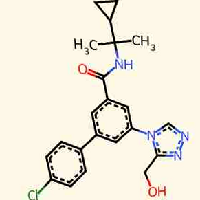 CC(C)(NC(=O)c1cc(-c2ccc(Cl)cc2)cc(-n2cnnc2CO)c1)C1CC1